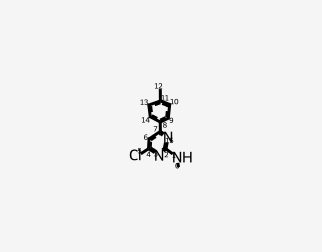 CNc1nc(Cl)cc(-c2ccc(C)cc2)n1